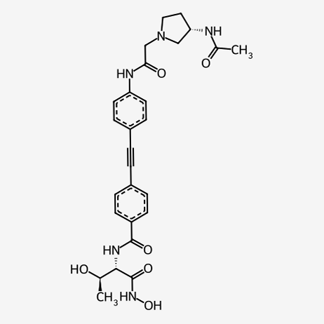 CC(=O)N[C@H]1CCN(CC(=O)Nc2ccc(C#Cc3ccc(C(=O)N[C@H](C(=O)NO)[C@@H](C)O)cc3)cc2)C1